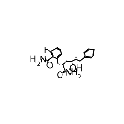 NC(=O)c1c(F)cccc1C[C@H](C[C@@H](O)[CH]Cc1ccccc1)C(N)=O